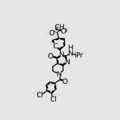 CC(C)Nc1nc2c(c(=O)n1-c1ccc(S(C)(=O)=O)cc1)CCN(C(=O)c1ccc(Cl)c(Cl)c1)C2